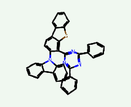 c1ccc(-c2nc(-c3ccccc3)nc(-c3c(-n4c5ccccc5c5ccccc54)ccc4c3sc3ccccc34)n2)cc1